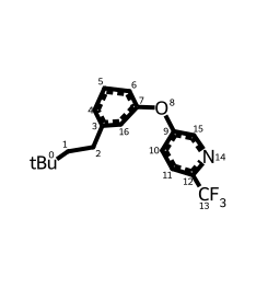 CC(C)(C)CCc1cccc(Oc2ccc(C(F)(F)F)nc2)c1